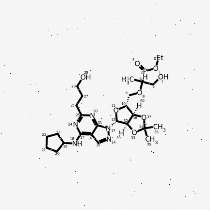 CCO[PH](=O)C(C)(CO)OC[C@H]1O[C@@H](n2ncc3c(NC4CCCC4)nc(CCCO)nc32)[C@@H]2OC(C)(C)O[C@@H]21